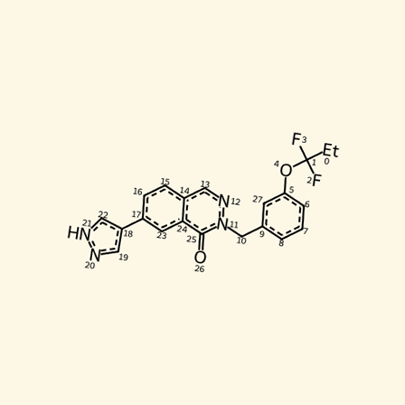 CCC(F)(F)Oc1cccc(Cn2ncc3ccc(-c4cn[nH]c4)cc3c2=O)c1